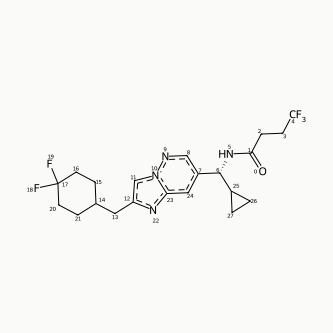 O=C(CCC(F)(F)F)N[C@@H](c1cnn2cc(CC3CCC(F)(F)CC3)nc2c1)C1CC1